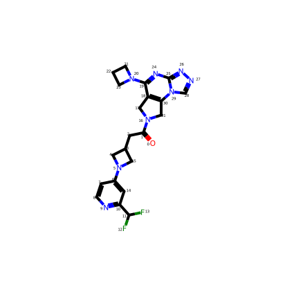 O=C(CC1CN(c2ccnc(C(F)F)c2)C1)N1Cc2c(N3CCC3)nc3nncn3c2C1